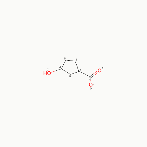 [O]C(=O)C1CCC(O)C1